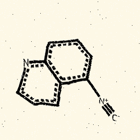 [C-]#[N+]c1cccc2ncccc12